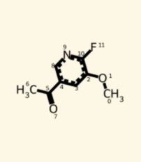 COc1cc(C(C)=O)cnc1F